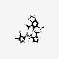 COc1cc2c(c(C(C)=O)c1NC(=O)c1sccc1S(=O)(=O)Nc1onc(C)c1Cl)OCO2